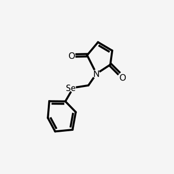 O=C1C=CC(=O)N1C[Se]c1ccccc1